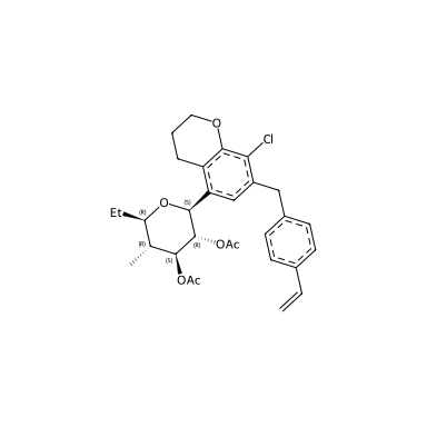 C=Cc1ccc(Cc2cc([C@@H]3O[C@H](CC)[C@@H](C)[C@H](OC(C)=O)[C@H]3OC(C)=O)c3c(c2Cl)OCCC3)cc1